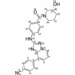 N#Cc1ccc(-c2cccn3nc(Nc4ccc(C(=O)N5CCC[C@@H](O)C5)cc4)nc23)cc1